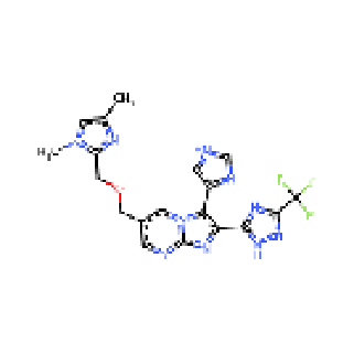 Cc1cn(C)c(COCc2cnc3nc(-c4nc(C(F)(F)F)n[nH]4)c(-c4c[nH]cn4)n3c2)n1